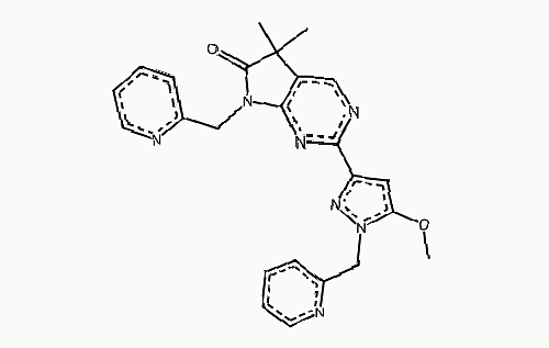 COc1cc(-c2ncc3c(n2)N(Cc2ccccn2)C(=O)C3(C)C)nn1Cc1ccccn1